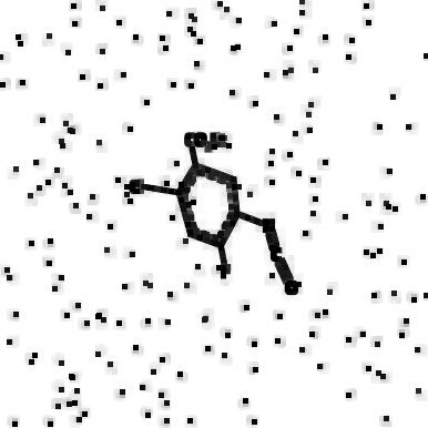 CCOC(=O)c1cc(N=C=O)c(F)cc1Cl